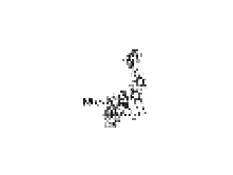 COc1cc2oc(-c3cccc(-c4cccc(CCCN5CCOCC5)c4)c3C)nc2cc1CN1CCCCC1C(=O)O